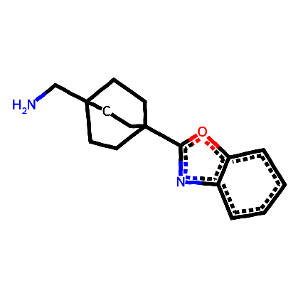 NCC12CCC(c3nc4ccccc4o3)(CC1)CC2